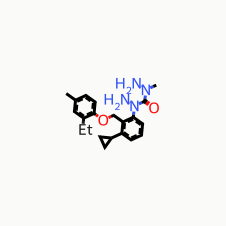 CCc1cc(C)ccc1OCc1c(C2CC2)cccc1N(N)C(=O)N(C)N